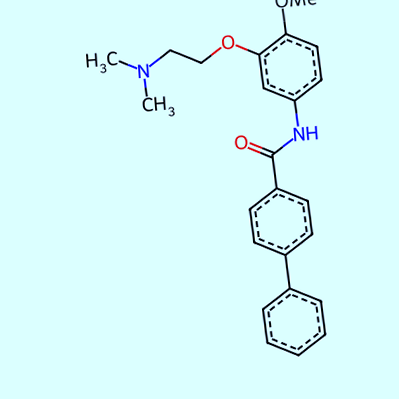 COc1ccc(NC(=O)c2ccc(-c3ccccc3)cc2)cc1OCCN(C)C